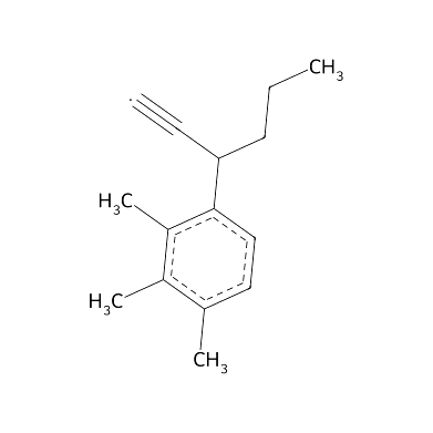 [C]#CC(CCC)c1ccc(C)c(C)c1C